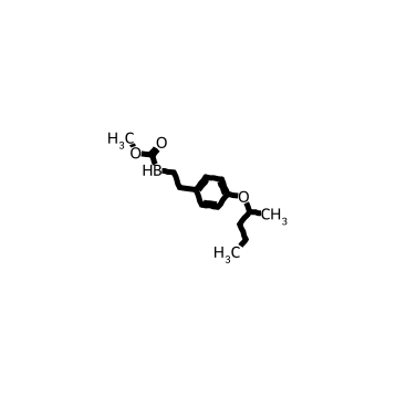 CCCC(C)Oc1ccc(CCBC(=O)OC)cc1